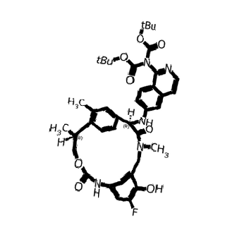 Cc1cc2ccc1[C@@H](C)COC(=O)Nc1cc(F)c(O)c(c1)CN(C)C(=O)[C@@H]2Nc1ccc2c(N(C(=O)OC(C)(C)C)C(=O)OC(C)(C)C)nccc2c1